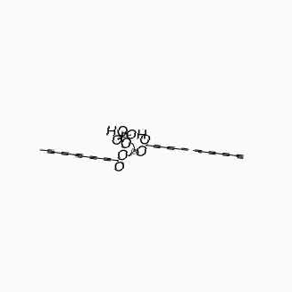 C#CC#CC#CC#CC#CC#CC#CC(=O)O[C@@H](COC(=O)C#CC#CC#CC#CC#CC)COP(=O)(O)O